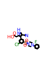 N#Cc1c[nH]c(CC(=O)O)c1-c1cc(Cl)cc(S(=O)(=O)N2CCN(c3ccccc3F)CC2)c1